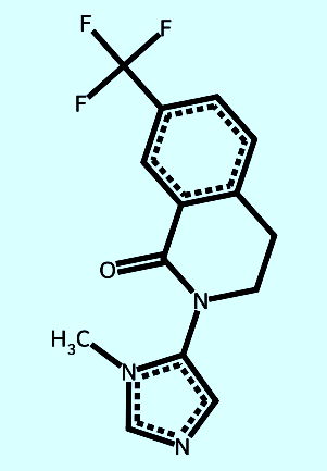 Cn1cncc1N1CCc2ccc(C(F)(F)F)cc2C1=O